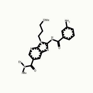 CCCCN(CC)C(=O)c1cnc2c(c1)nc(NC(=O)c1cccc(N)c1)n2CCCOC